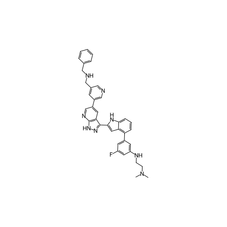 CN(C)CCNc1cc(F)cc(-c2cccc3[nH]c(-c4n[nH]c5ncc(-c6cncc(CNCc7ccccc7)c6)cc45)cc23)c1